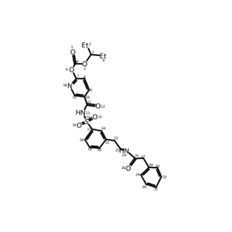 CCC(CC)OC(=O)Oc1ccc(C(=O)NS(=O)(=O)c2cccc(CCNC(=O)Cc3ccccc3)c2)cn1